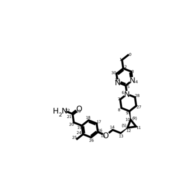 CCc1cnc(N2CCC([C@H]3C[C@H]3CCOc3ccc(CC(N)=O)c(C)c3)CC2)nc1